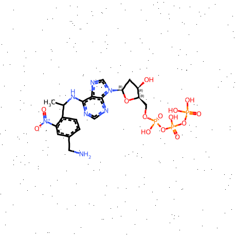 CC(Nc1ncnc2c1ncn2[C@H]1C[C@@H](O)[C@@H](COP(=O)(O)OP(=O)(O)OP(=O)(O)O)O1)c1ccc(CN)cc1[N+](=O)[O-]